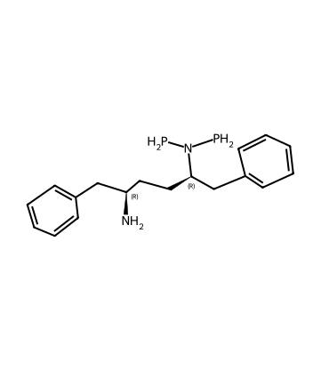 N[C@H](CC[C@H](Cc1ccccc1)N(P)P)Cc1ccccc1